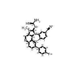 Cc1ccc(C#N)cc1-n1/c(=N/C(=N)N)n(C)c2cnc3ccc(-c4ccc(F)cc4)cc3c21